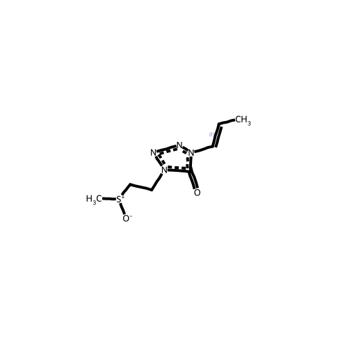 C/C=C/n1nnn(CC[S+](C)[O-])c1=O